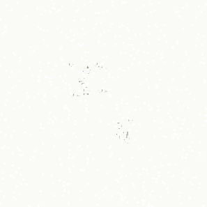 COc1cc(C2NC(=O)c3ccccc3N2)ccc1OCCCCCCCCCCOc1c(OC)cc(C2=NOC(c3cc(OC)c(OC)c(OC)c3)C2)cc1OC